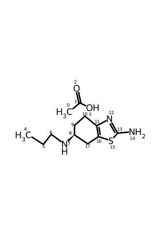 CC(=O)O.CCCN[C@H]1CCc2nc(N)sc2C1